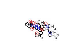 COc1cccc(OC)c1-c1cc(C(=O)NC2(C(=O)O)C3CC4CC(C3)CC2C4)nn1-c1ccc(C(=O)N(C)CCCN(C)C)cc1C(C)C